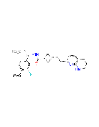 COc1ccc([C@H](CC(=O)O)NC(=O)[C@H]2C[C@@H](CCc3ccc4c(n3)NCCC4)C2)cc1F